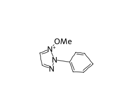 CO[n+]1ccnn1-c1ccccc1